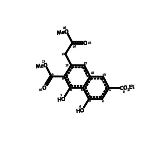 CCOC(=O)c1cc(O)c2c(O)c(C(=O)OC)c(CC(=O)OC)cc2c1